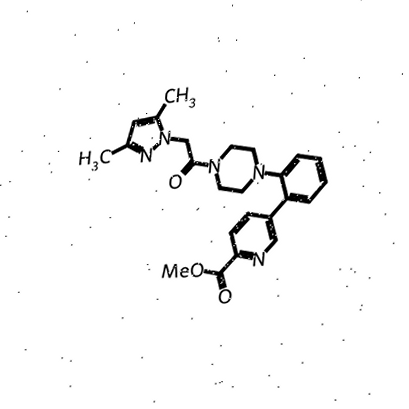 COC(=O)c1ccc(-c2ccccc2N2CCN(C(=O)Cn3nc(C)cc3C)CC2)cn1